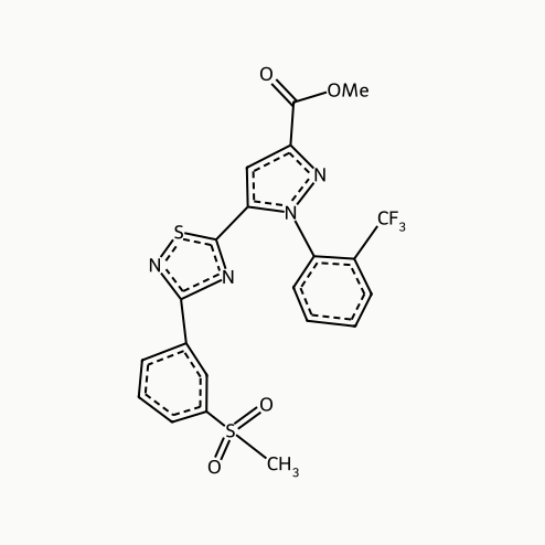 COC(=O)c1cc(-c2nc(-c3cccc(S(C)(=O)=O)c3)ns2)n(-c2ccccc2C(F)(F)F)n1